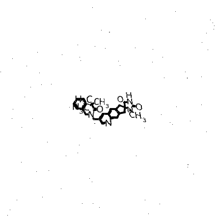 CN1C(=O)NC(=O)C12Cc1cc3cc(CN(Cc4ccccc4)C(=O)C(C)(C)C)cnc3cc1C2